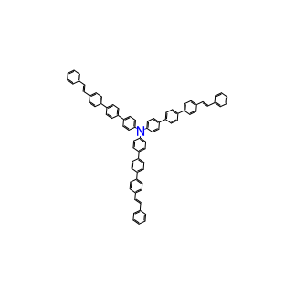 C(=C\c1ccc(-c2ccc(-c3ccc(N(c4ccc(-c5ccc(-c6ccc(/C=C/c7ccccc7)cc6)cc5)cc4)c4ccc(-c5ccc(-c6ccc(/C=C/c7ccccc7)cc6)cc5)cc4)cc3)cc2)cc1)/c1ccccc1